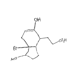 CCC12CC=C(O)C(CCC(=O)O)C1CCC2OC(C)=O